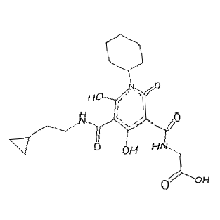 O=C(O)CNC(=O)c1c(O)c(C(=O)NCCC2CC2)c(O)n(C2CCCCC2)c1=O